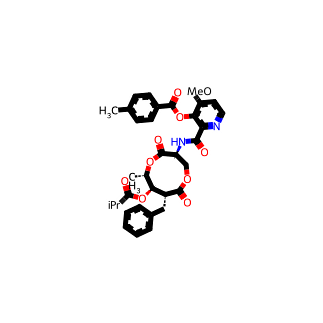 COc1ccnc(C(=O)N[C@H]2COC(=O)[C@H](Cc3ccccc3)[C@@H](OC(=O)C(C)C)[C@H](C)OC2=O)c1OC(=O)c1ccc(C)cc1